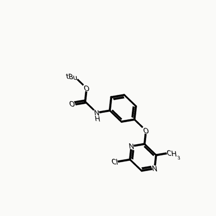 Cc1ncc(Cl)nc1Oc1cccc(NC(=O)OC(C)(C)C)c1